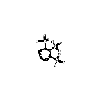 O=S(=O)(Cl)c1cccc(S(=O)(=O)Cl)c1S(=O)(=O)Cl